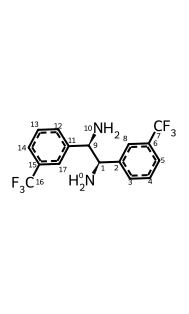 N[C@H](c1cccc(C(F)(F)F)c1)[C@H](N)c1cccc(C(F)(F)F)c1